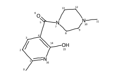 Cc1ccc(C(=O)N2CCN(C)CC2)c(O)n1